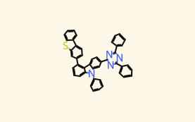 c1ccc(-c2nc(-c3ccccc3)nc(-c3ccc4c5c(-c6ccc7c(c6)sc6ccccc67)cccc5n(-c5ccccc5)c4c3)n2)cc1